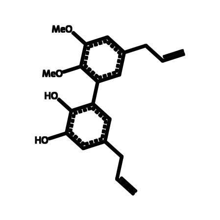 C=CCc1cc(O)c(O)c(-c2cc(CC=C)cc(OC)c2OC)c1